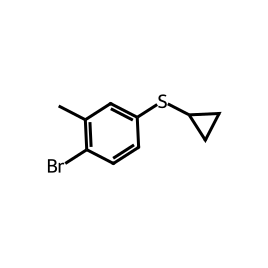 Cc1cc(SC2CC2)ccc1Br